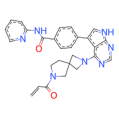 C=CC(=O)N1CCC2(C1)CN(c1ncnc3[nH]cc(-c4ccc(C(=O)Nc5ccccn5)cc4)c13)C2